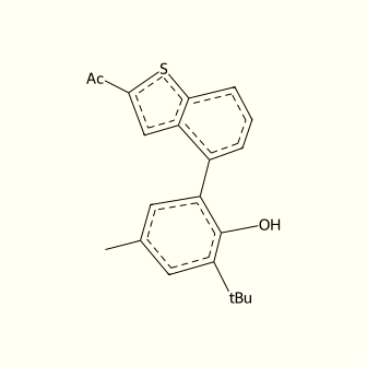 CC(=O)c1cc2c(-c3cc(C)cc(C(C)(C)C)c3O)cccc2s1